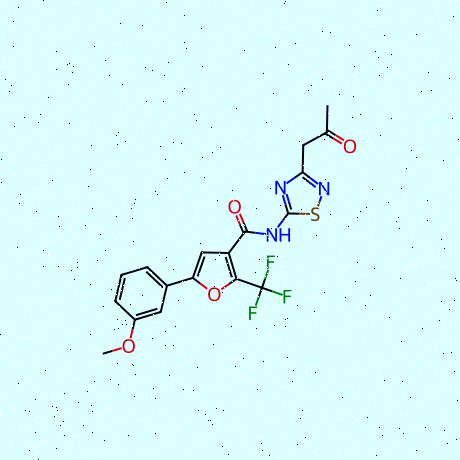 COc1cccc(-c2cc(C(=O)Nc3nc(CC(C)=O)ns3)c(C(F)(F)F)o2)c1